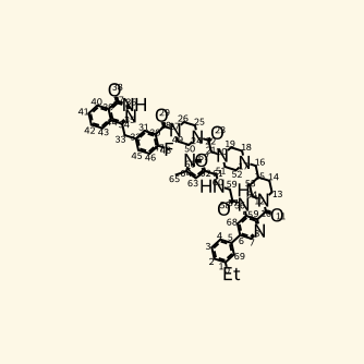 CCc1cccc(-c2cnc(C(=O)N3CCC(CN4CCN(CC(=O)N5CCN(C(=O)c6cc(Cc7n[nH]c(=O)c8ccccc78)ccc6F)CC5)CC4)CC3)c(NC(=O)CNCc3cc(C)no3)c2)c1